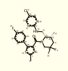 Cc1nc(C(=O)N2CC(F)(F)C[C@@H](C)[C@H]2CNc2ncc(Cl)cn2)c(-c2ccc(F)cc2)s1